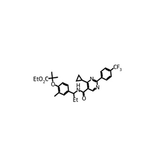 CCOC(=O)C(C)(C)Oc1ccc(C(CC)NC(=O)c2cnc(-c3ccc(C(F)(F)F)cc3)nc2C2CC2)cc1C